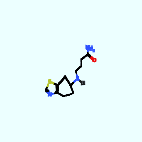 CCN(CCCC(N)=O)C1CCc2ncsc2C1